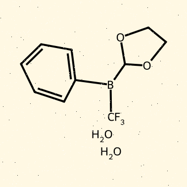 FC(F)(F)B(c1ccccc1)C1OCCO1.O.O